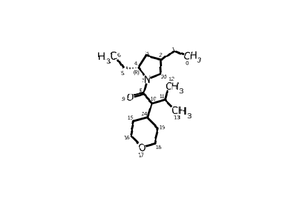 CCC1C[C@@H](CC)N(C(=O)C(C(C)C)C2CCOCC2)C1